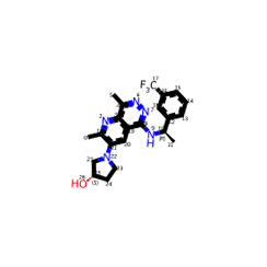 Cc1nc2c(C)nnc(N[C@H](C)c3cccc(C(F)(F)F)c3)c2cc1N1CC[C@H](O)C1